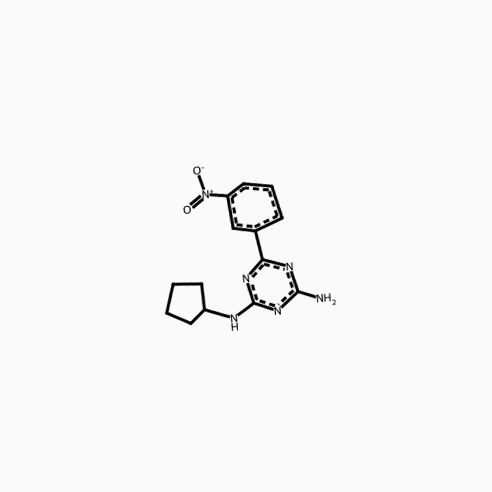 Nc1nc(NC2CCCC2)nc(-c2cccc([N+](=O)[O-])c2)n1